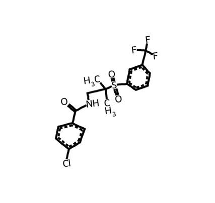 CC(C)(CNC(=O)c1ccc(Cl)cc1)S(=O)(=O)c1cccc(C(F)(F)F)c1